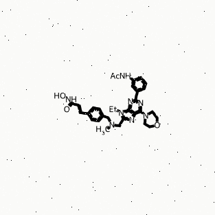 CCn1c(CN(C)Cc2ccc(C=CC(=O)NO)cc2)nc2c(N3CCOCC3)nc(-c3cccc(NC(C)=O)c3)nc21